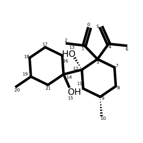 C=C(C)C1(C(=C)C)CC[C@H](C)C[C@@]1(O)C1(O)CCCC(C)C1